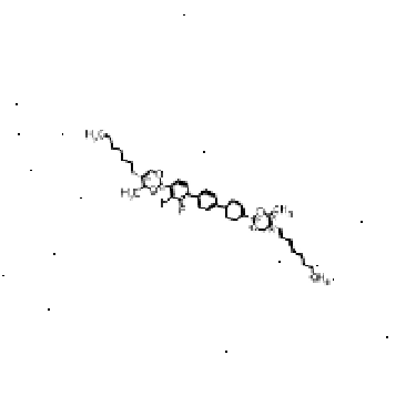 CCCCCCCC[C@@H]1CO[C@@H](C2CCC(c3ccc(-c4ccc([C@@H]5OC[C@@H](CCCCCCC)C(C)O5)c(F)c4F)cc3)CC2)O[C@H]1C